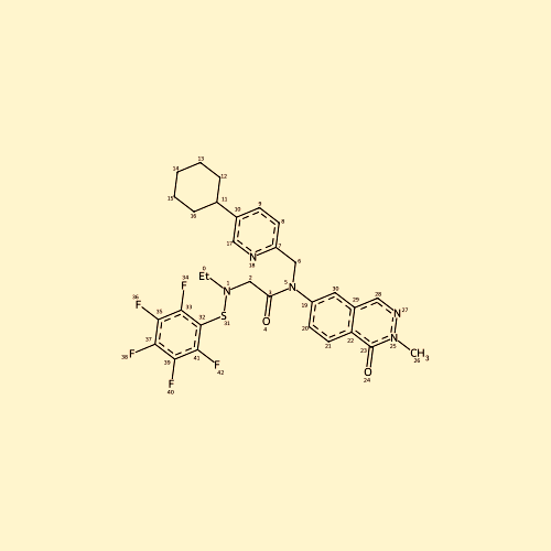 CCN(CC(=O)N(Cc1ccc(C2CCCCC2)cn1)c1ccc2c(=O)n(C)ncc2c1)Sc1c(F)c(F)c(F)c(F)c1F